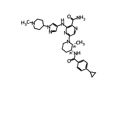 C[C@@H]1[C@H](NC(=O)c2ccc(C3CC3)cc2)CCCN1c1cnc(C(N)=O)c(Nc2cnn(C3CCN(C)CC3)c2)n1